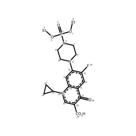 CCOP(=O)(OCC)N1CCN(c2cc3c(cc2F)c(=O)c(C(=O)O)cn3C2CC2)CC1